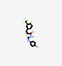 O=C1N/C(=N\c2ccc(Cl)cc2)S/C1=C/c1ccc(F)c(C(F)(F)F)c1